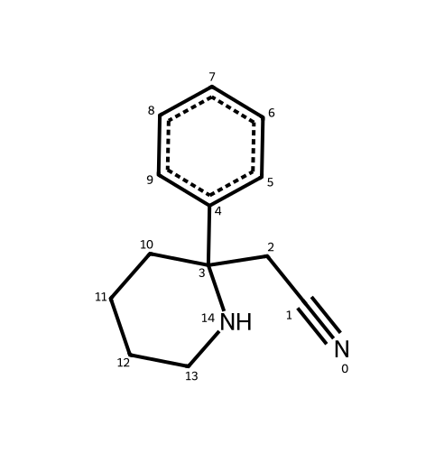 N#CCC1(c2ccccc2)CCCCN1